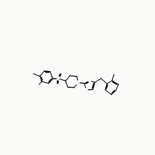 Cc1ccccc1Cc1csc(N2CCC(S(=O)(=O)c3ccc(Cl)c([N+](=O)[O-])c3)CC2)n1